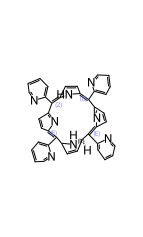 C1=C/C2=C(\c3ccccn3)C3C=C[C@@H](N3)/C(c3ccccn3)=C3/C=CC(=N3)/C(c3ccccn3)=c3/cc/c([nH]3)=C(\c3ccccn3)C1=N2